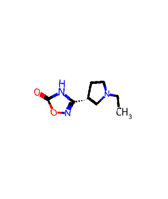 CCN1CC[C@@H](c2noc(=O)[nH]2)C1